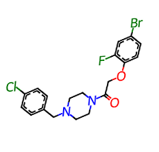 O=C(COc1ccc(Br)cc1F)N1CCN(Cc2ccc(Cl)cc2)CC1